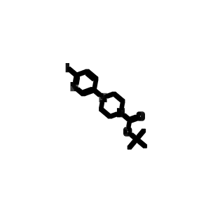 CC(C)(C)OC(=O)N1CCN(c2ccc(I)nc2)CC1